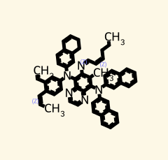 C=Cc1cc(N(c2ccc3c(c2)CCC=C3)c2c(/N=C\C=C/CCC)c(C)c(N(c3ccc4ccccc4c3)c3ccc4ccccc4c3)c3nccnc23)ccc1/C=C\C